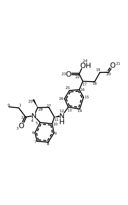 CCC(=O)N1c2ccccc2[C@H](Nc2ccc(C(CCC=O)C(=O)O)cc2)C[C@@H]1C